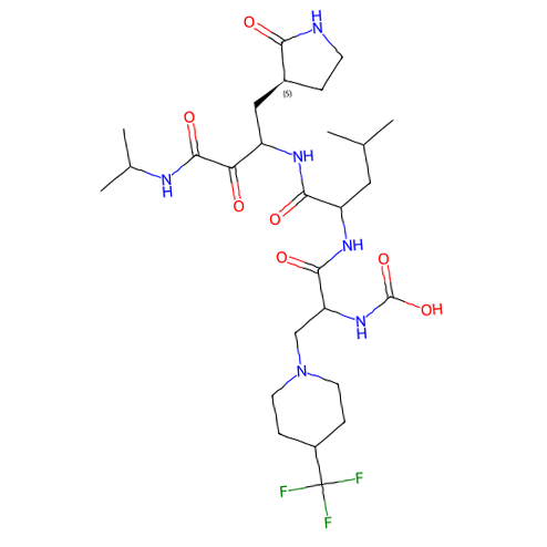 CC(C)CC(NC(=O)C(CN1CCC(C(F)(F)F)CC1)NC(=O)O)C(=O)NC(C[C@@H]1CCNC1=O)C(=O)C(=O)NC(C)C